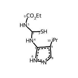 CCOC(=O)NC(S)Nc1[nH]ncc1C(C)C